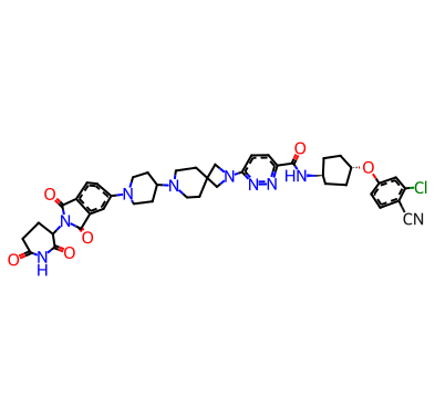 N#Cc1ccc(O[C@H]2CC[C@H](NC(=O)c3ccc(N4CC5(CCN(C6CCN(c7ccc8c(c7)C(=O)N(C7CCC(=O)NC7=O)C8=O)CC6)CC5)C4)nn3)CC2)cc1Cl